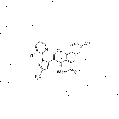 CNC(=O)c1cc2cc(O)ccc2c(Cl)c1NC(=O)c1cc(C(F)(F)F)nn1-c1ncccc1Cl